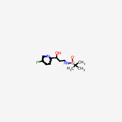 CC(C)(C)[S+]([O-])NCCC(O)c1ccc(F)cn1